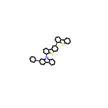 c1ccc(-c2ccc3c4ccccc4n(-c4cccc5c4sc4ccc(-c6cccc7c6sc6ccccc67)cc45)c3c2)cc1